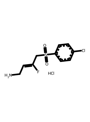 Cl.NC/C=C(\F)CS(=O)(=O)c1ccc(Cl)cc1